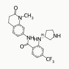 CN1C(=O)CCc2ccc(NC(=O)c3ccc(C(F)(F)F)cc3N[C@@H]3CCNC3)cc21